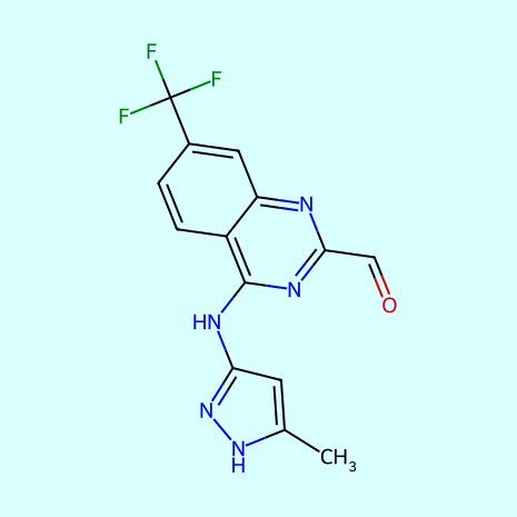 Cc1cc(Nc2nc(C=O)nc3cc(C(F)(F)F)ccc23)n[nH]1